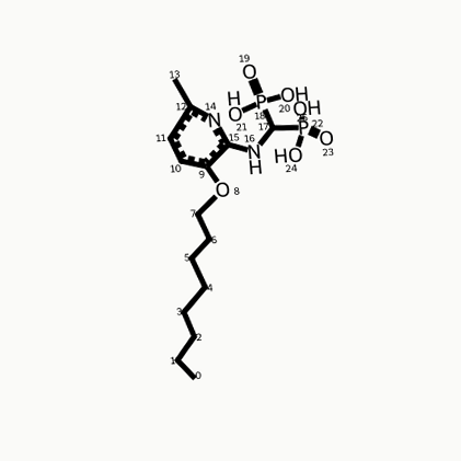 CCCCCCCCOc1ccc(C)nc1NC(P(=O)(O)O)P(=O)(O)O